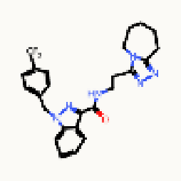 O=C(NCCc1nnc2n1CCCCC2)c1nn(Cc2ccc(C(F)(F)F)cc2)c2ccccc12